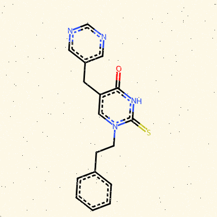 O=c1[nH]c(=S)n(CCc2ccccc2)cc1Cc1cncnc1